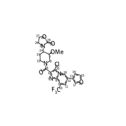 CO[C@H]1CN(C(=O)c2nc3c(C(F)(F)F)cc(-c4ccoc4)cn3c2Cl)CCC1N1CCOC1=O